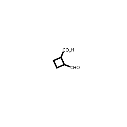 O=CC1CCC1C(=O)O